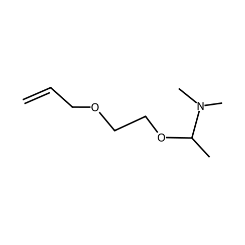 C=CCOCCOC(C)N(C)C